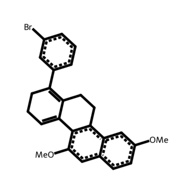 COc1ccc2cc(OC)c3c(c2c1)CCC1=C(c2cccc(Br)c2)CCC=C13